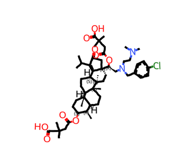 CC(C)C1=C2[C@H]3CC[C@@H]4[C@@]5(C)CC[C@H](OC(=O)CC(C)(C)C(=O)O)[C@H](C)[C@@H]5CC[C@@]4(C)[C@]3(C)CC[C@@]2([C@H](CN(CCN(C)C)Cc2ccc(Cl)cc2)OC(=O)CC(C)(C)C(=O)O)CC1=O